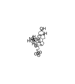 C[C@]12CCC3C(CC[C@H]4C[C@H](O)CC[C@]34C)C1CC[C@@H]2C(=O)CSS(=O)(=O)[O-].O=S(O)(O)=S.[Na+]